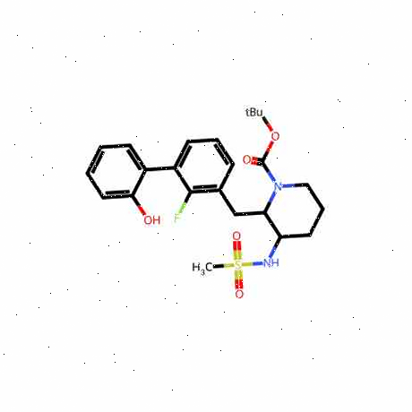 CC(C)(C)OC(=O)N1CCCC(NS(C)(=O)=O)C1Cc1cccc(-c2ccccc2O)c1F